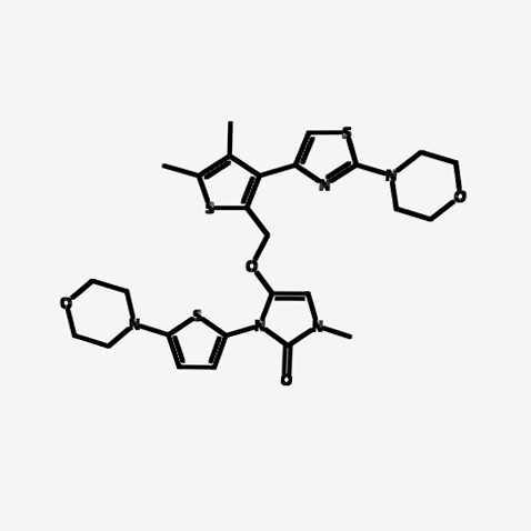 Cc1sc(COc2cn(C)c(=O)n2-c2ccc(N3CCOCC3)s2)c(-c2csc(N3CCOCC3)n2)c1C